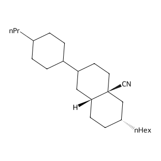 CCCCCC[C@@H]1CC[C@@H]2CC(C3CCC(CCC)CC3)CC[C@]2(C#N)C1